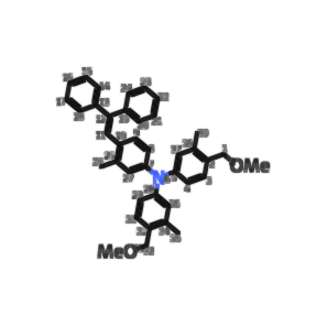 COCc1ccc(N(c2ccc(C=C(c3ccccc3)c3ccccc3)c(C)c2)c2ccc(COC)c(C)c2)cc1C